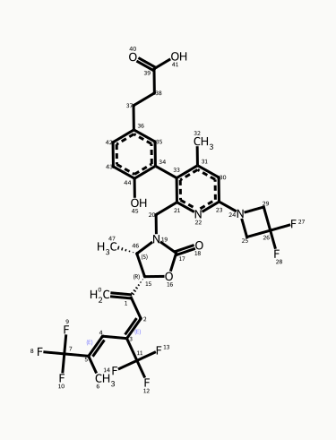 C=C(/C=C(\C=C(/C)C(F)(F)F)C(F)(F)F)[C@H]1OC(=O)N(Cc2nc(N3CC(F)(F)C3)cc(C)c2-c2cc(CCC(=O)O)ccc2O)[C@H]1C